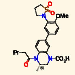 COc1ccc(-c2ccc3c(c2)N(C(=O)O)C[C@H](C)N3C(=O)CC(C)C)cc1N1CCCS1(=O)=O